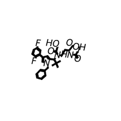 CC(C)(C)C(c1cc(-c2cc(F)ccc2F)cn1Cc1ccccc1)N(CCC(NC(=O)I)C(=O)O)C(=O)CO